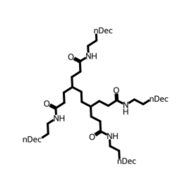 CCCCCCCCCCCCNC(=O)CCC(CCC(=O)NCCCCCCCCCCCC)CCC(CCC(=O)NCCCCCCCCCCCC)CCC(=O)NCCCCCCCCCCCC